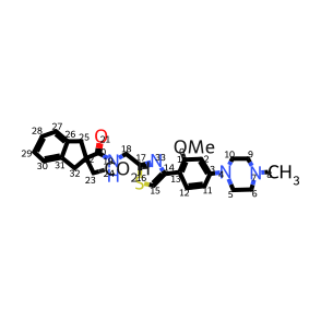 COc1cc(N2CCN(C)CC2)ccc1-c1csc(CNC(=O)C2(CC(=O)O)Cc3ccccc3C2)n1